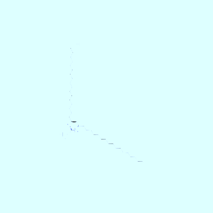 [CH2]c1nc(CCCCCCCCCCCCCCCCCC)cc(CCCCCCCCCCCCCCCCCC)n1